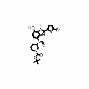 CC(C)(C)OC(=O)N1CCCC(N(C=O)c2ccc(O)c3[nH]c(-c4ccc(Br)s4)nc23)C1